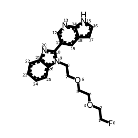 FCCOCCOCCn1c(-c2cnc3[nH]ccc3c2)nc2ccccc21